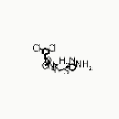 Nc1ccc(SCCN2CCN(C(=O)OCc3cc(Cl)cc(Cl)c3)CC2)cc1N